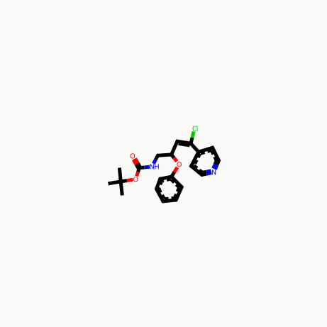 CC(C)(C)OC(=O)NCC(/C=C(/Cl)c1ccncc1)Oc1ccccc1